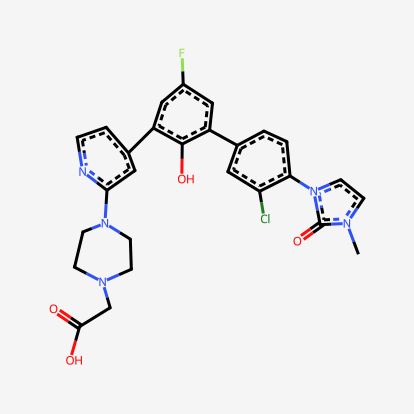 Cn1ccn(-c2ccc(-c3cc(F)cc(-c4ccnc(N5CCN(CC(=O)O)CC5)c4)c3O)cc2Cl)c1=O